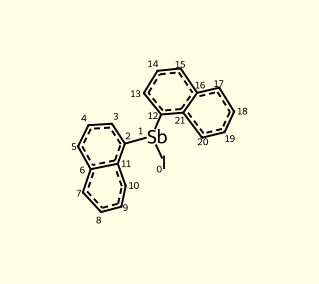 [I][Sb]([c]1cccc2ccccc12)[c]1cccc2ccccc12